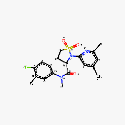 Cc1cc(C(F)(F)F)cc(N2[C@H](C(=O)N(C)c3ccc(F)c(C)c3)CCS2(=O)=O)n1